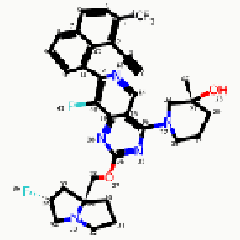 C#Cc1c(C(F)(F)F)ccc2cccc(-c3ncc4c(N5CCC[C@@](C)(O)C5)nc(OC[C@@]56CCCN5C[C@H](F)C6)nc4c3F)c12